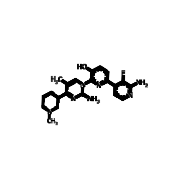 CC1=CN(c2nc(-c3ccnc(N)c3F)ccc2O)C(N)N=C1C1CCCN(C)C1